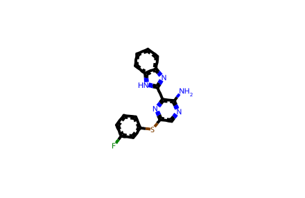 Nc1ncc(Sc2cccc(F)c2)nc1-c1nc2ccccc2[nH]1